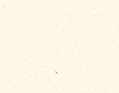 CNc1c(-c2cnn([C@H]3CCN(C4COC4)C[C@@H]3F)c2)cnc2[nH]ccc12